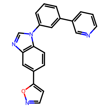 c1cncc(-c2cccc(-n3cnc4cc(-c5ccno5)ccc43)c2)c1